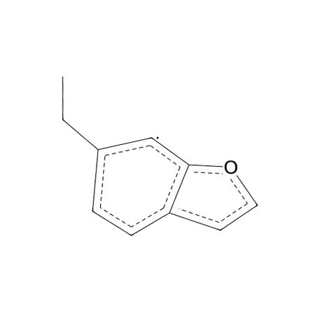 CCc1[c]c2occc2cc1